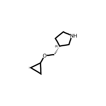 [C]1CC1OC[C@@H]1CCNC1